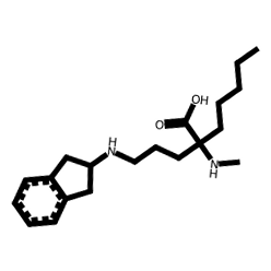 CCCCCC(CCCNC1Cc2ccccc2C1)(NC)C(=O)O